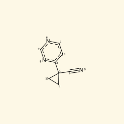 N#CC1(c2[c]cncn2)CC1